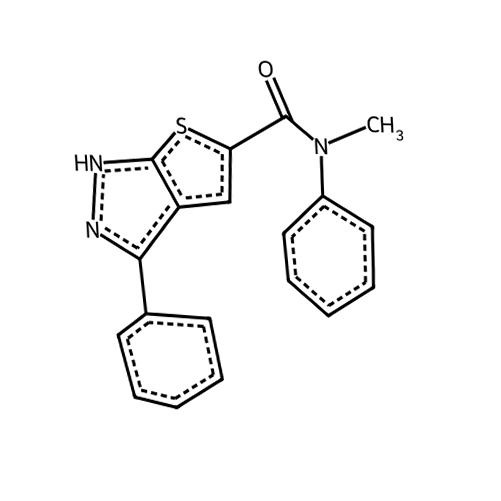 CN(C(=O)c1cc2c(-c3ccccc3)n[nH]c2s1)c1ccccc1